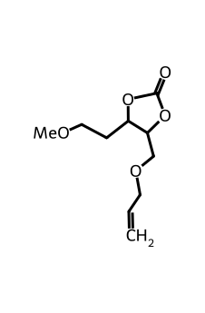 C=CCOCC1OC(=O)OC1CCOC